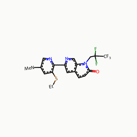 CCSc1cc(NC)cnc1-c1cc2ccc(=O)n(CC(F)(F)C(F)(F)F)c2cn1